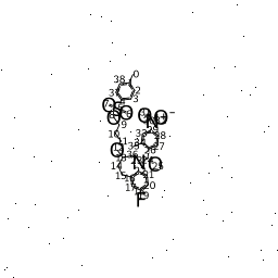 Cc1ccc(S(=O)(=O)OCCCOC2CCc3cc(F)ccc3N(C(=O)c3ccc([N+](=O)[O-])cc3C)C2)cc1